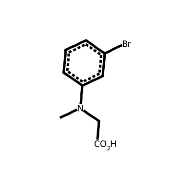 CN(CC(=O)O)c1cccc(Br)c1